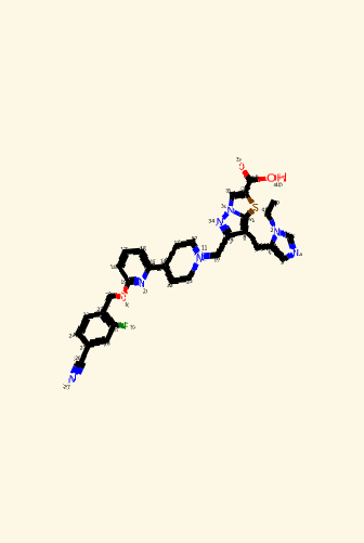 CCn1cncc1Cc1c(CN2CCC(c3cccc(OCc4ccc(C#N)cc4F)n3)CC2)nn2cc(C(=O)O)sc12